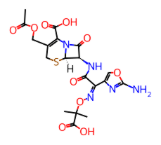 CC(=O)OCC1=C(C(=O)O)N2C(=O)[C@@H](NC(=O)/C(=N\OC(C)(C)C(=O)O)c3coc(N)n3)[C@H]2SC1